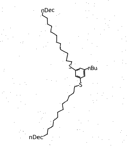 [CH2]CCCc1cc(SCCCCCCCCCCCCCCCCCCCCCC)cc(SCCCCCCCCCCCCCCCCCCCCCC)c1